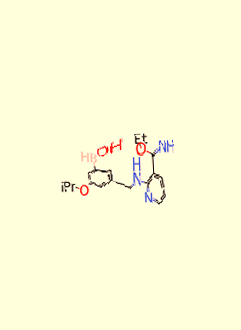 CCOC(=N)c1cccnc1NCc1cc(BO)cc(OC(C)C)c1